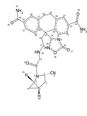 N#C[C@@H]1C[C@@H]2C[C@@H]2N1C(=O)CNCCC1(c2nc(=O)o[nH]2)c2ccc(C(N)=O)cc2CCc2cc(C(N)=O)ccc21